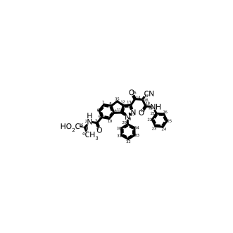 C[C@H](NC(=O)c1ccc2c(c1)-c1c(c(C(=O)C(C#N)C(=O)Nc3ccccc3)nn1-c1ccccc1)C2)C(=O)O